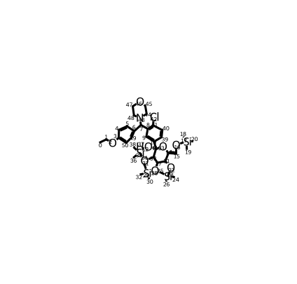 CCOc1ccc(C(c2cc([C@]3(O)O/C(=C\O[Si](C)(C)C)C(O[Si](C)(C)C)C(O[Si](C)(C)C)C3O[Si](C)(C)C)ccc2Cl)N2CCOCC2)cc1